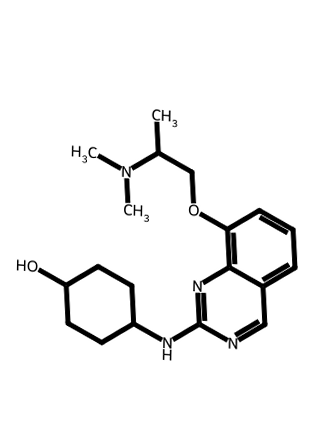 CC(COc1cccc2cnc(NC3CCC(O)CC3)nc12)N(C)C